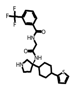 O=C(CNC(=O)c1cccc(C(F)(F)F)c1)N[C@@]1(C2CCC(c3cccs3)CC2)CCNC1